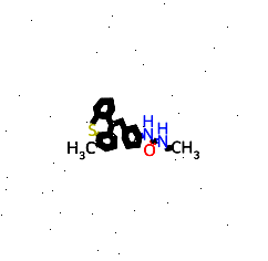 CCNC(=O)Nc1cccc(CC2c3ccccc3CSc3c(C)cccc32)c1